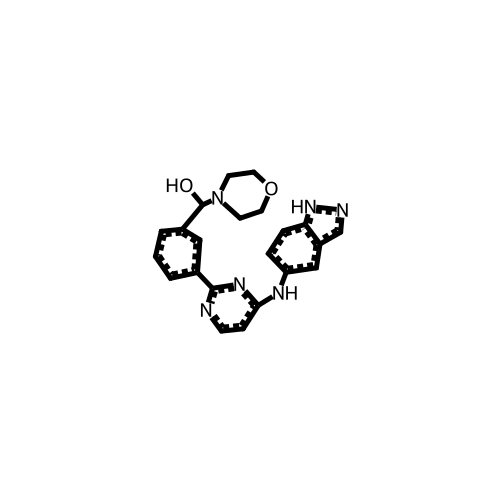 OC(c1cccc(-c2nccc(Nc3ccc4[nH]ncc4c3)n2)c1)N1CCOCC1